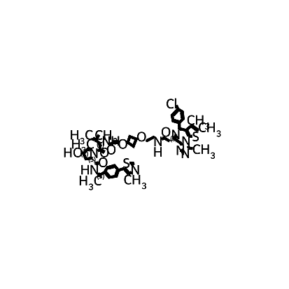 Cc1ncsc1-c1ccc([C@H](C)NC(=O)[C@@H]2C[C@@H](O)CN2C(=O)[C@@H](NC(=O)CO[C@H]2C[C@H](OCCNC(=O)C[C@@H]3N=C(c4ccc(Cl)cc4)c4c(sc(C)c4C)-n4c(C)nnc43)C2)C(C)(C)C)cc1